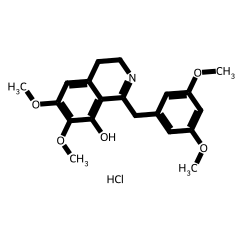 COc1cc(CC2=NCCc3cc(OC)c(OC)c(O)c32)cc(OC)c1.Cl